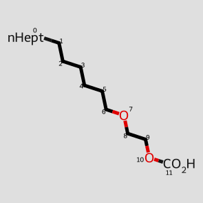 CCCCCCCCCCCCCOCCOC(=O)O